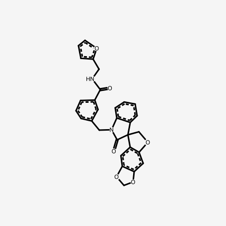 O=C(NCc1ccco1)c1cccc(CN2C(=O)C3(COc4cc5c(cc43)OCO5)c3ccccc32)c1